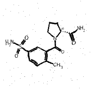 Cc1ccc(S(N)(=O)=O)cc1C(=O)N1CCC[C@@H]1C(N)=O